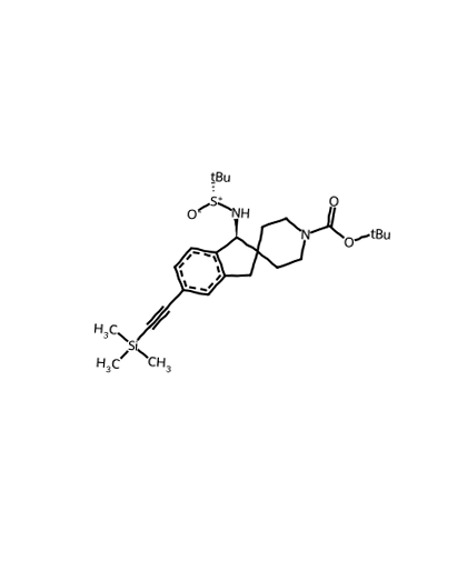 CC(C)(C)OC(=O)N1CCC2(CC1)Cc1cc(C#C[Si](C)(C)C)ccc1[C@H]2N[S@+]([O-])C(C)(C)C